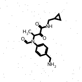 CC(C(=O)C(=O)NCC1CC1)N(C=O)c1ccc(CN)cc1